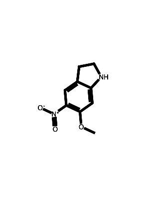 COc1cc2c(cc1[N+](=O)[O-])CCN2